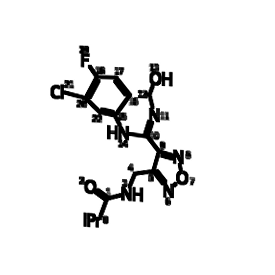 CC(C)C(=O)NCc1nonc1/C(=N/CO)Nc1ccc(F)c(Cl)c1